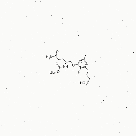 Cc1cc(CCCC(=O)O)c(F)c(OC[C@H](CCC(N)=O)NC(=O)OC(C)(C)C)c1